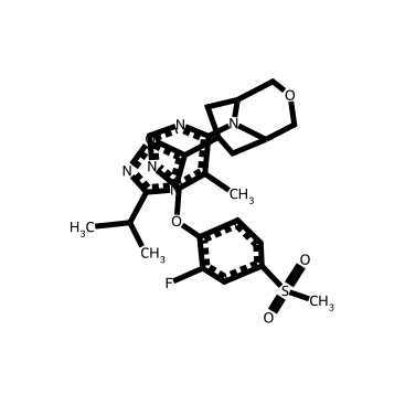 Cc1c(Oc2ccc(S(C)(=O)=O)cc2F)ncnc1N1C2COCC1CC(c1nc(C(C)C)no1)C2